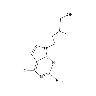 Nc1nc(Cl)c2ncn(CCC(F)CO)c2n1